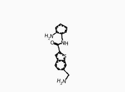 NCc1ccc2cc(C(=O)Nc3ccccc3N)sc2c1